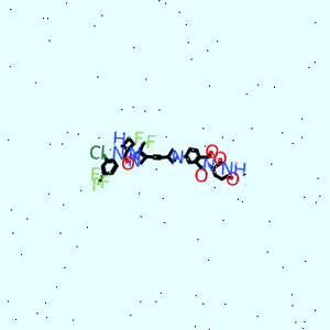 O=C1CCC(N2C(=O)c3ccc(N4CC(C#Cc5cnn(C6(C(=O)Nc7ccc(C(F)(F)F)cc7Cl)CCC6)c5C(F)F)C4)cc3C2=O)C(=O)N1